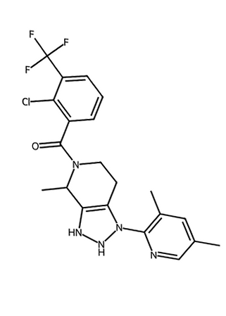 Cc1cnc(N2NNC3=C2CCN(C(=O)c2cccc(C(F)(F)F)c2Cl)C3C)c(C)c1